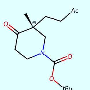 CC(=O)CC[C@]1(C)CN(C(=O)OC(C)(C)C)CCC1=O